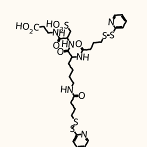 O=C(O)CCNC(=O)C(CS(=O)(=O)O)NC(=O)C(CCCCNC(=O)CCCSSc1ccccn1)NC(=O)CCCSSc1ccccn1